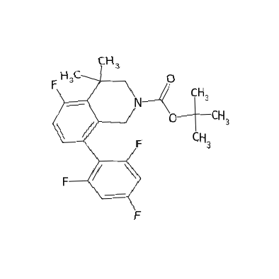 CC(C)(C)OC(=O)N1Cc2c(-c3c(F)cc(F)cc3F)ccc(F)c2C(C)(C)C1